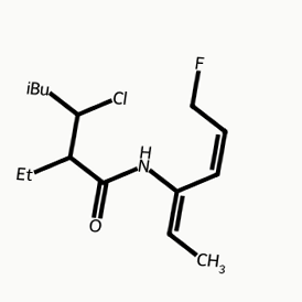 C/C=C(\C=C/CF)NC(=O)C(CC)C(Cl)C(C)CC